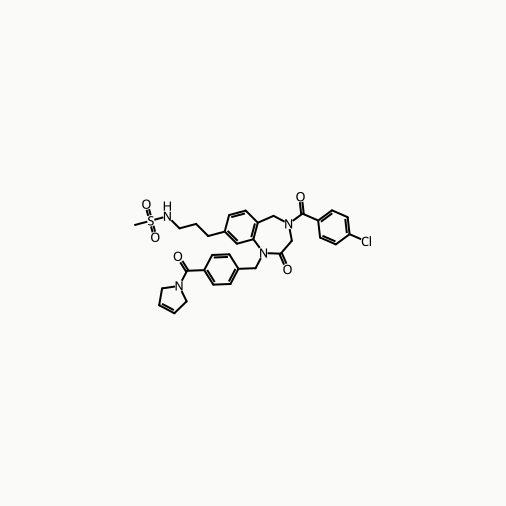 CS(=O)(=O)NCCCc1ccc2c(c1)N(Cc1ccc(C(=O)N3CC=CC3)cc1)C(=O)CN(C(=O)c1ccc(Cl)cc1)C2